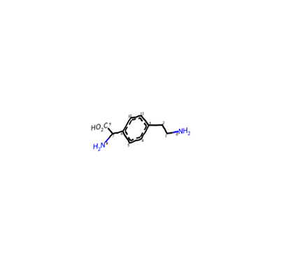 NCCc1ccc(C(N)C(=O)O)cc1